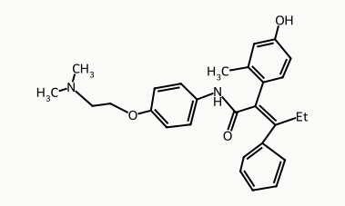 CCC(=C(C(=O)Nc1ccc(OCCN(C)C)cc1)c1ccc(O)cc1C)c1ccccc1